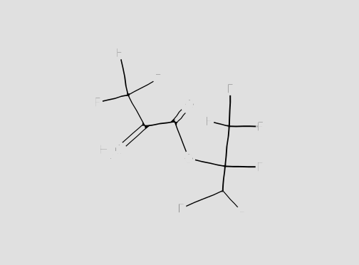 C=C(C(=O)OC(F)(C(F)F)C(F)(F)F)C(F)(F)F